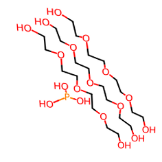 OCCOCCOCCOCCO.OCCOCCOCCOCCO.OCCOCCOCCOCCO.OP(O)O